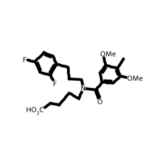 COc1cc(C(=O)N(CCCCC(=O)O)CCCc2ccc(F)cc2F)cc(OC)c1C